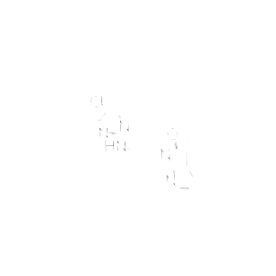 CC1(C)C(=O)N([C@H]2C[C@H](Nc3ncc(Cl)cn3)C2)c2ncccc21